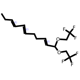 CC/C=C/C=C/CC/C=C/C(OCC(F)(F)F)OCC(F)(F)F